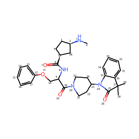 CN[C@@H]1CC[C@H](C(=O)NC(COc2ccccc2)C(=O)N2CCC(N3C(=O)C(C)(C)c4ccccc43)CC2)C1